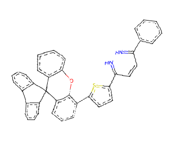 N=C(/C=C\C(=N)c1ccc(-c2cccc3c2Oc2ccccc2C32c3ccccc3-c3ccccc32)s1)c1ccccc1